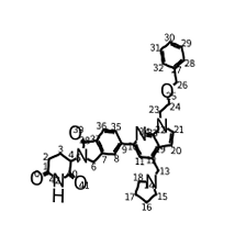 O=C1CCC(N2Cc3cc(-c4cc(CN5CCCC5)c5ccn(CCOCc6ccccc6)c5n4)ccc3C2=O)C(=O)N1